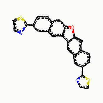 c1csc(-c2ccc3cc4oc5cc6ccc(-c7nccs7)cc6cc5c4cc3c2)n1